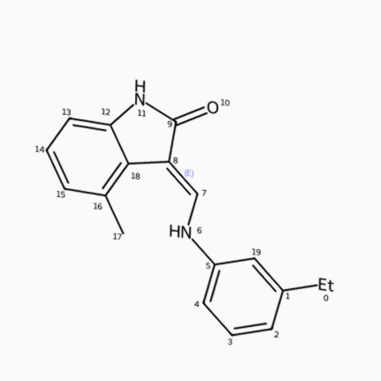 CCc1cccc(N/C=C2/C(=O)Nc3cccc(C)c32)c1